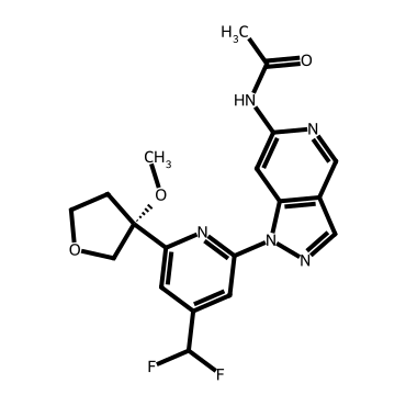 CO[C@@]1(c2cc(C(F)F)cc(-n3ncc4cnc(NC(C)=O)cc43)n2)CCOC1